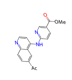 COC(=O)c1ccc(Nc2ccnc3ccc(C(C)=O)cc23)nc1